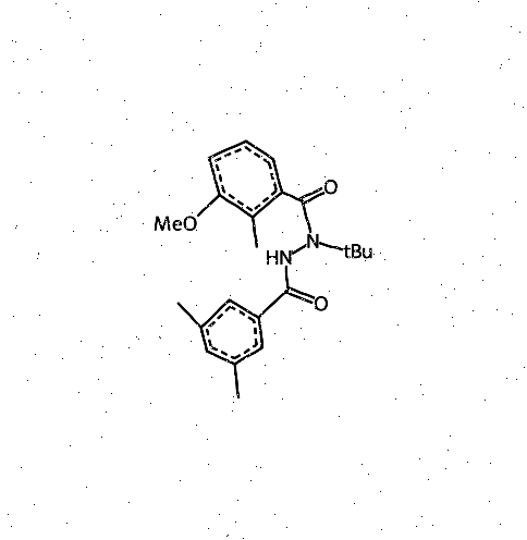 COc1cccc(C(=O)N(NC(=O)c2cc(C)cc(C)c2)C(C)(C)C)c1C